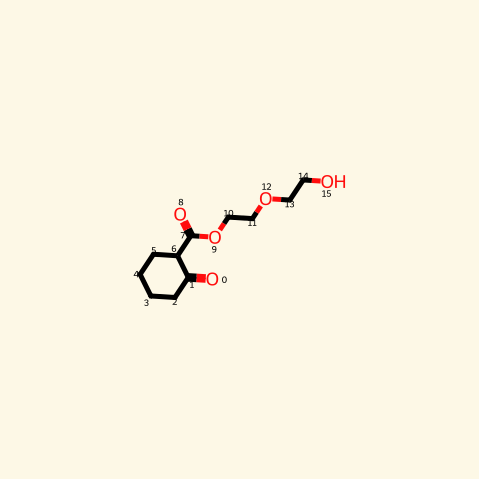 O=C1CCCCC1C(=O)OCCOCCO